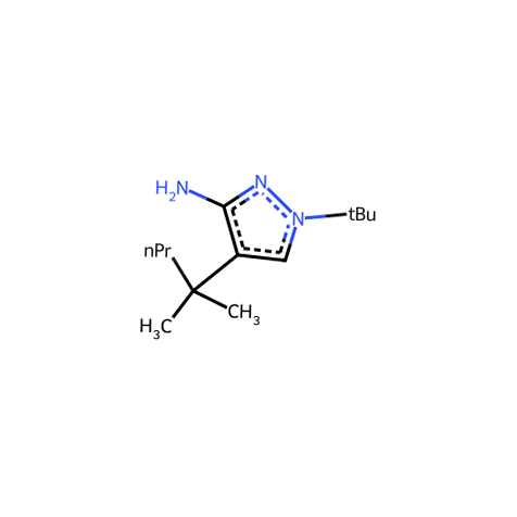 CCCC(C)(C)c1cn(C(C)(C)C)nc1N